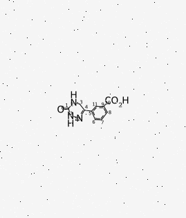 O=C1NCC(c2cccc(C(=O)O)c2)=NN1